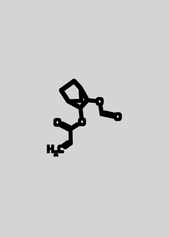 C=CC(=O)OC1C2CCC(C2)C1OC=O